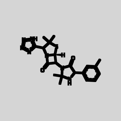 Cc1cccc(C2NC(C)(C)N(C3C(=O)N4C(c5nnn[nH]5)C(C)(C)S[C@@H]34)C2=O)c1